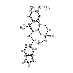 COc1cc(C2CCC(C)(CO)CC2)c(C(C)=NOCc2ccc3nonc3c2)cc1O